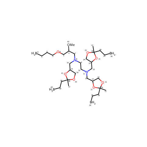 BCCCOCC(CN(CCN(CC1COC(C)(CCB)O1)CC1COC(C)(CCB)O1)CC1COC(C)(CCB)O1)OC